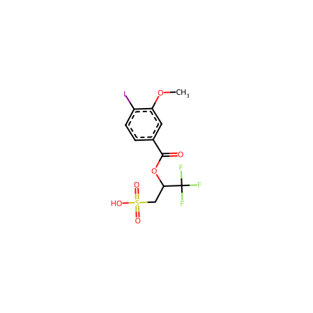 COc1cc(C(=O)OC(CS(=O)(=O)O)C(F)(F)F)ccc1I